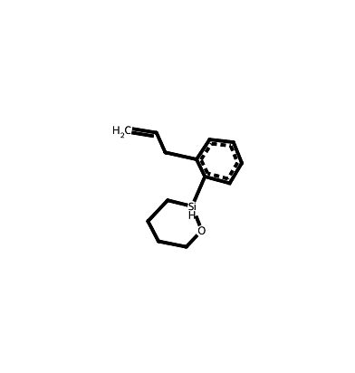 C=CCc1ccccc1[SiH]1CCCCO1